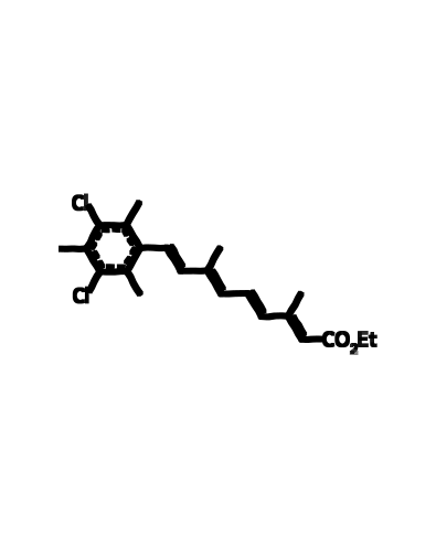 CCOC(=O)/C=C(C)/C=C/C=C(C)/C=C/c1c(C)c(Cl)c(C)c(Cl)c1C